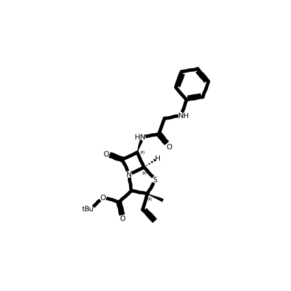 C=C[C@@]1(C)S[C@@H]2[C@H](NC(=O)CNc3ccccc3)C(=O)N2C1C(=O)OC(C)(C)C